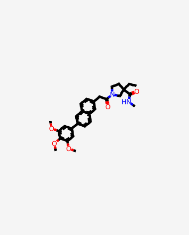 CCC1(C(=O)NC)CCN(C(=O)Cc2ccc3cc(-c4cc(OC)c(OC)c(OC)c4)ccc3c2)C1